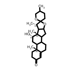 CC1CCC2(OC1)OC1CC3C4CCC5=CC(=O)CC[C@]5(C)C4C[C@H](O)[C@]3(C)C1[C@@H]2C